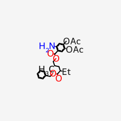 CCC(CC(C)COC(=O)c1cc(OC(C)=O)c(OC(C)=O)cc1N)C(=O)OCc1ccccc1